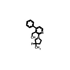 CCc1c(-c2ccccc2)ccnc1N1CCC(C)(F)C1